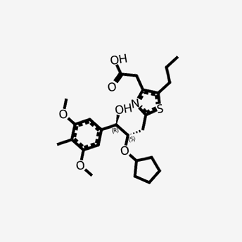 CCCc1sc(C[C@H](OC2CCCC2)[C@H](O)c2cc(OC)c(C)c(OC)c2)nc1CC(=O)O